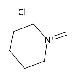 C=[N+]1CCCCC1.[Cl-]